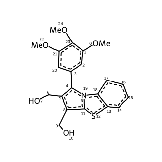 COc1cc(-c2c(CO)c(CO)c3sc4ccccc4n23)cc(OC)c1OC